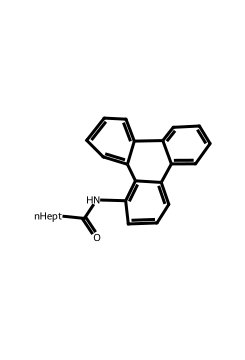 CCCCCCCC(=O)Nc1cccc2c3ccccc3c3ccccc3c12